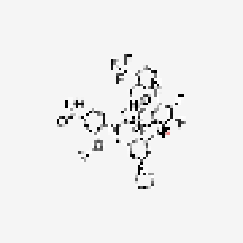 O=C(O)c1ccc(N(Cc2cc(C3CC3)cc(N3CCCC3)c2)C(=O)CN(Cc2cnccc2C(F)(F)F)S(=O)(=O)c2c(F)c(F)c(F)c(F)c2F)c(OC2CC2)c1